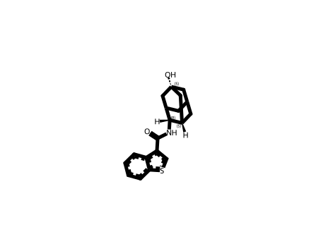 O=C(N[C@@H]1C2CC3C[C@H]1C[C@](O)(C3)C2)c1csc2ccccc12